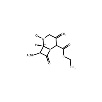 C=C1C[S+]([O-])[C@H]2C(NC(C)=O)C(=O)N2C1C(=O)OCC(Cl)(Cl)Cl